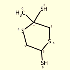 CC1(S)CSC(S)CS1